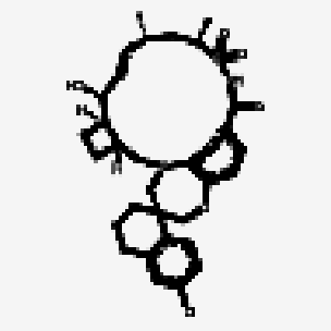 C[C@@H]1C[C@@H](C)/C=C/[C@H](O)[C@@H]2CC[C@H]2CN2C[C@@]3(CCCc4cc(Cl)ccc43)COc3ccc(cc32)C(=O)NS1(=O)=O